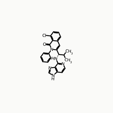 CC(C)[C@H](Nc1nccc2[nH]cnc12)c1cc2cccc(Cl)c2c(=O)n1-c1ccccc1